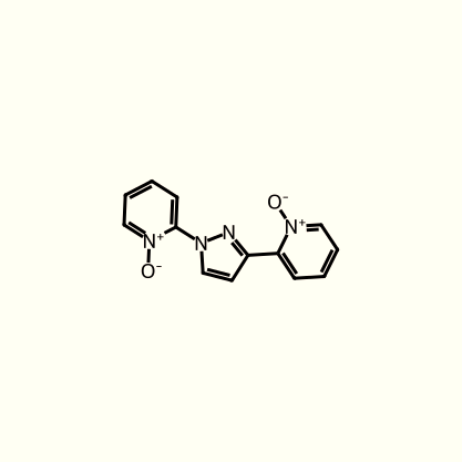 [O-][n+]1ccccc1-c1ccn(-c2cccc[n+]2[O-])n1